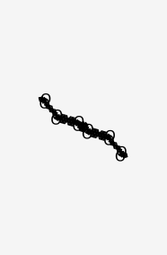 C=CC(=O)OCCCCCCOC(=O)C1CCC(C2CCC(C(=O)Oc3ccc(OC(=O)C4CCC(C5CCC(C(=O)OCCCCCCOC(=O)C=C)CC5)CC4)c(C)c3C)CC2)CC1